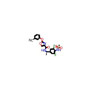 C[C@@H](NC(=O)c1coc(Oc2cccc(C#N)c2)n1)c1cc(F)c(NS(C)(=O)=O)c(F)c1